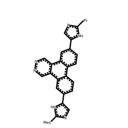 CSc1ncc(-c2ccc3c4ccc(-c5cnc(C(C)C)[nH]5)cc4c4cnncc4c3c2)[nH]1